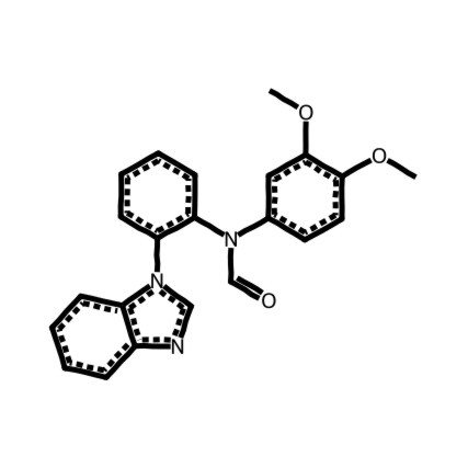 COc1ccc(N(C=O)c2ccccc2-n2cnc3ccccc32)cc1OC